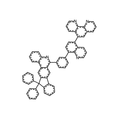 c1ccc(C2(c3ccccc3)c3ccccc3-c3cc4c(-c5cccc(-c6ccc(-c7cc8cccnc8c8ncccc78)c7cccnc67)c5)nc5ccccc5c4cc32)cc1